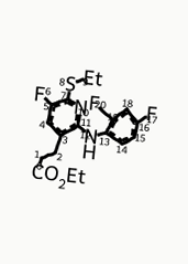 CCOC(=O)CCc1cc(F)c(SCC)nc1Nc1ccc(F)cc1F